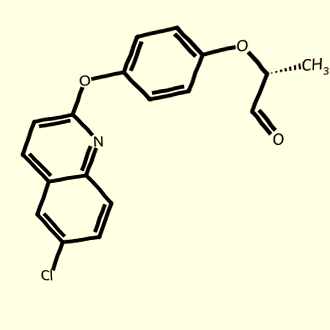 C[C@H](C=O)Oc1ccc(Oc2ccc3cc(Cl)ccc3n2)cc1